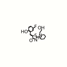 O=C1N=C(N2CCCCN2CCO)SC1=Cc1cc(F)ccc1O